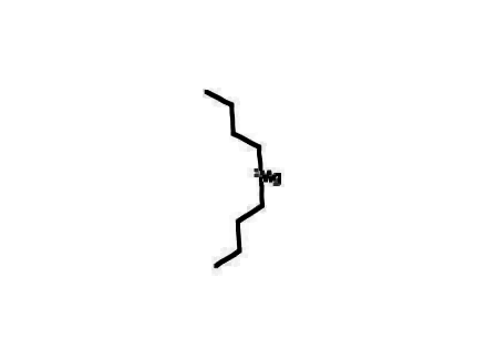 CCC[CH2][1Mg][CH2]CCC